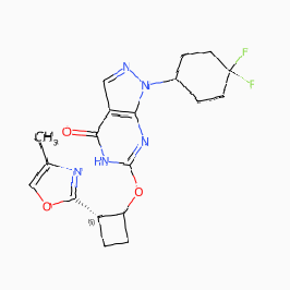 Cc1coc([C@H]2CCC2Oc2nc3c(cnn3C3CCC(F)(F)CC3)c(=O)[nH]2)n1